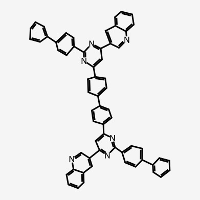 c1ccc(-c2ccc(-c3nc(-c4ccc(-c5ccc(-c6cc(-c7cnc8ccccc8c7)nc(-c7ccc(-c8ccccc8)cc7)n6)cc5)cc4)cc(-c4cnc5ccccc5c4)n3)cc2)cc1